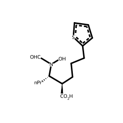 CCC[C@@H]([C@@H](CCCc1cccs1)C(=O)O)N(O)C=O